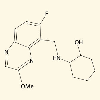 COc1cnc2ccc(F)c(CNC3CCCCC3O)c2n1